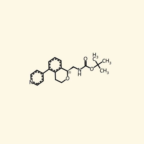 CC(C)(C)OC(=O)NC[C@H]1OCCc2c(-c3ccncc3)cccc21